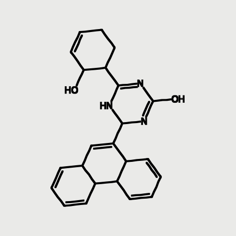 OC1=NC(C2=CC3C=CC=CC3C3C=CC=CC23)NC(C2CCC=CC2O)=N1